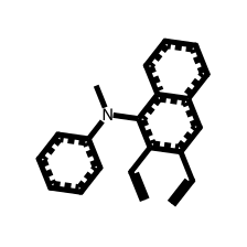 C=Cc1cc2ccccc2c(N(C)c2ccccc2)c1C=C